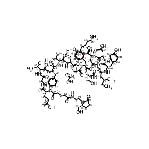 CC[C@H](C)[C@H](NC(=O)[C@H](CO)NC(=O)[C@H](Cc1ccc(O)cc1)NC(=O)[C@H](CC(=O)O)NC(=O)[C@H](CO)NC(=O)[C@@H](NC(=O)[C@H](Cc1ccccc1)NC(=O)[C@@H](NC(=O)CNC(=O)[C@H](CCC(=O)O)NC(=O)CSCC(=O)NCCN1C(=O)CC[C@@H]1CO)[C@@H](C)O)[C@@H](C)O)C(=O)N[C@@H](Cc1ccc(O)cc1)C(=O)N[C@@H](CC(C)C)C(=O)N[C@@H](CC(=O)O)C(=O)N[C@H](C)CCCCN